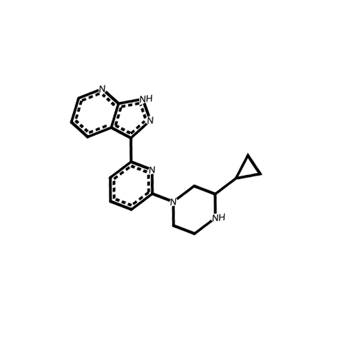 c1cc(-c2n[nH]c3ncccc23)nc(N2CCNC(C3CC3)C2)c1